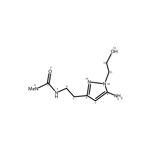 CNC(=O)NCCc1cc(N)n(CCO)n1